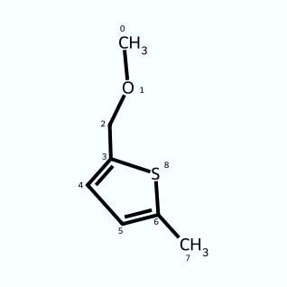 COCc1ccc(C)s1